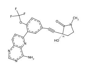 CN1CC[C@@](O)(C#Cc2ccc(OC(F)(F)F)c(-c3ccc4ncnc(N)c4n3)c2)C1=O